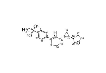 CS(=O)(=O)c1ccc(C2CCCC([C@@H]3C[C@H]3C3CCOC3)N2)cc1